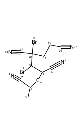 CC(C#N)CC(C#N)C(Br)C(Br)(C#N)CCC#N